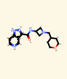 O=C(NC1CN(CC2CCOCC2)C1)c1n[nH]c2ccncc12